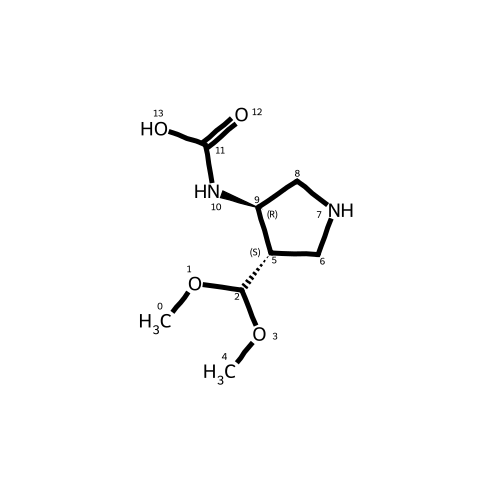 COC(OC)[C@H]1CNC[C@@H]1NC(=O)O